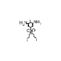 CCCCN(CCCC)S(=O)(=O)c1cc(N)c(C)c(N)c1